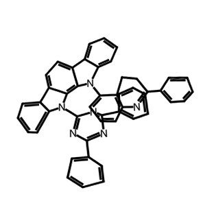 c1ccc(C2=Nc3cccc(-n4c5ccccc5c5ccc6c7ccccc7n(-c7nc(-c8ccccc8)nc(-c8ccccc8)n7)c6c54)c3CC2)cc1